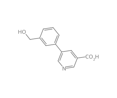 O=C(O)c1cncc(-c2cccc(CO)c2)c1